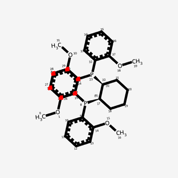 COc1ccccc1P(c1ccccc1OC)[C@@H]1CCCC[C@@H]1P(c1ccccc1OC)c1ccccc1OC